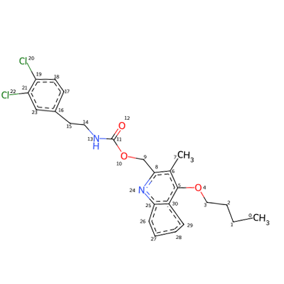 CCCCOc1c(C)c(COC(=O)NCCc2ccc(Cl)c(Cl)c2)nc2ccccc12